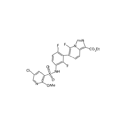 CCOC(=O)c1ncn2c(F)c(-c3c(F)ccc(NS(=O)(=O)c4cc(Cl)cnc4OC)c3F)ccc12